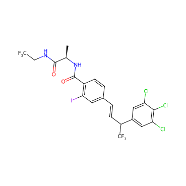 C[C@@H](NC(=O)c1ccc(/C=C/C(c2cc(Cl)c(Cl)c(Cl)c2)C(F)(F)F)cc1I)C(=O)NCC(F)(F)F